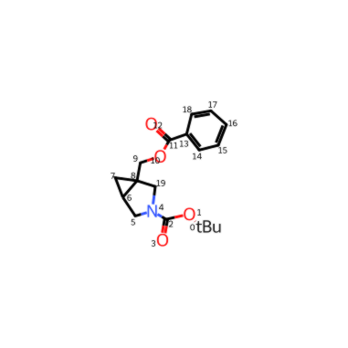 CC(C)(C)OC(=O)N1CC2CC2(COC(=O)c2ccccc2)C1